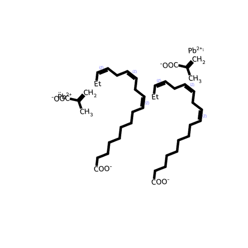 C=C(C)C(=O)[O-].C=C(C)C(=O)[O-].CC/C=C\C/C=C\C/C=C\CCCCCCCC(=O)[O-].CC/C=C\C/C=C\C/C=C\CCCCCCCC(=O)[O-].[Pb+2].[Pb+2]